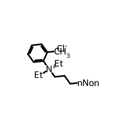 CCCCCCCCCCCC[N+](CC)(CC)c1ccccc1C.[Cl-]